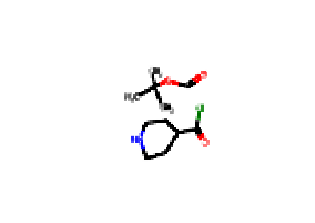 CC(C)(C)OC=O.O=C(Cl)C1CCNCC1